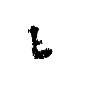 COc1ccc2ncc(F)c(CCN3C[C@H](CNCc4ccc5c(n4)NC(=O)CO5)[C@H](O)C3)c2n1